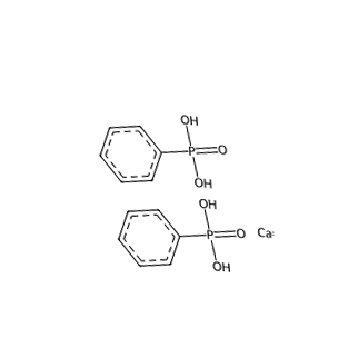 O=P(O)(O)c1ccccc1.O=P(O)(O)c1ccccc1.[Ca]